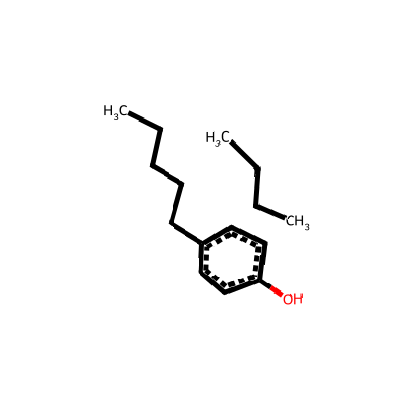 CCCC.CCCCCc1ccc(O)cc1